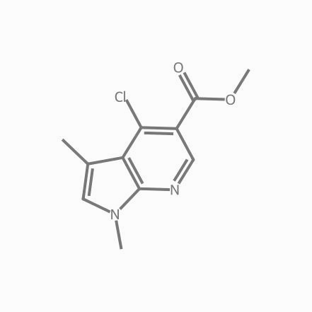 COC(=O)c1cnc2c(c(C)cn2C)c1Cl